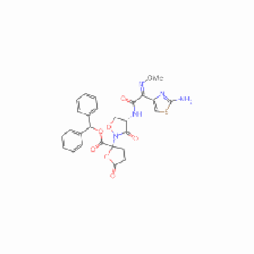 CO/N=C(/C(=O)N[C@H]1CON(C2(C(=O)OC(c3ccccc3)c3ccccc3)CCC(=O)O2)C1=O)c1csc(N)n1